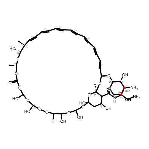 C[C@H]1C[C@H](O)[C@@H](C)/C=C/C=C/C=C/C=C/C=C/C=C/C=C/C(O[C@@H]2OC[C@@H](O)[C@H](N)[C@@H]2O)C[C@@H]2OC(O)(CC(O)CC(O)C(O)CC[C@@H](O)CC(O)CC(=O)O1)C[C@H](O)C2C(=O)N[C@@H](N)CN